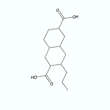 CCCC1CC2CC(C(=O)O)CCC2CC1C(=O)O